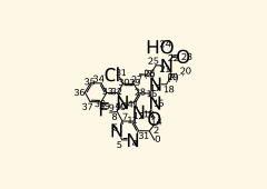 CC(C)c1ncnc(C(C)C)c1-n1c(=O)nc(N2C[C@@H](C)N(C(=O)O)C[C@@H]2C)c2cc(Cl)c(-c3ccccc3F)nc21